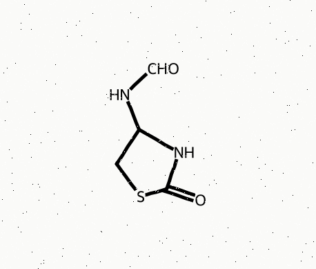 O=CNC1CSC(=O)N1